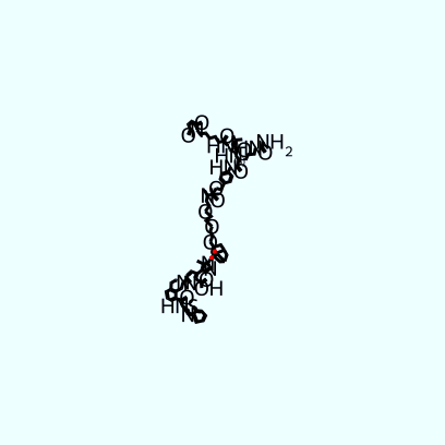 Cc1c(-c2ccc(N3CCc4cccc(C(=O)Nc5nc6ccccc6s5)c4C3)nc2C(=O)O)cnn1CC12CC3CC(C1)CC(OCCOCCOCCN(C)C(=O)OCc1ccc(NC(=O)[C@H](CCCNC(N)=O)NC(=O)[C@@H](NC(=O)CCCCCN4C(=O)C=CC4=O)C(C)C)cc1)(C3)C2